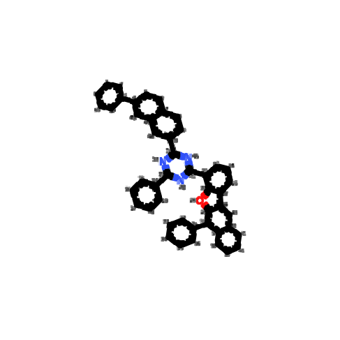 c1ccc(-c2ccc3ccc(-c4nc(-c5ccccc5)nc(-c5cccc6c5oc5c(-c7ccccc7)c7ccccc7cc56)n4)cc3c2)cc1